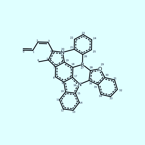 C=C/C=C\c1c(C)c2cc3c4ccccc4n4c3c3c2n1-c1ccccc1B3c1oc2ccccc2c1-4